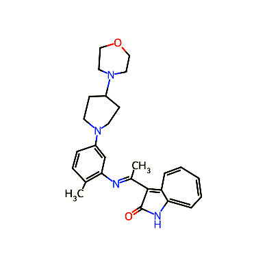 C/C(=N\c1cc(N2CCC(N3CCOCC3)CC2)ccc1C)c1c2cccccc-2[nH]c1=O